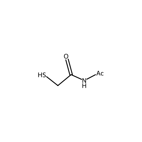 CC(=O)NC(=O)CS